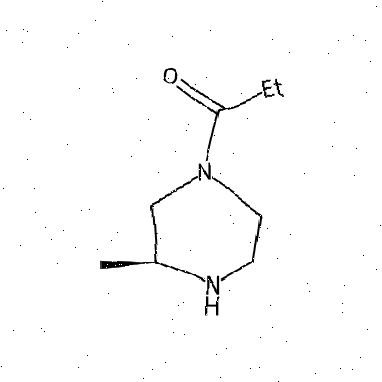 CCC(=O)N1CCN[C@@H](C)C1